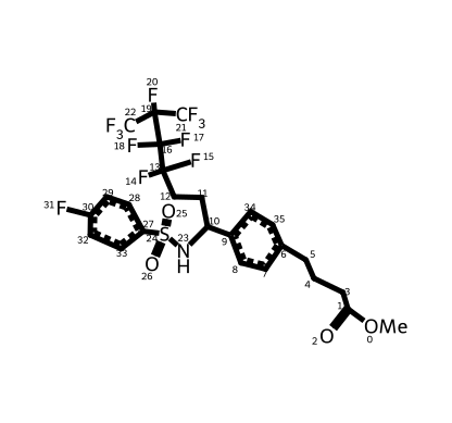 COC(=O)CCCc1ccc(C(CCC(F)(F)C(F)(F)C(F)(C(F)(F)F)C(F)(F)F)NS(=O)(=O)c2ccc(F)cc2)cc1